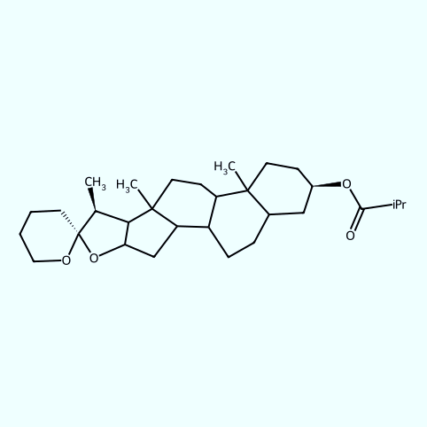 CC(C)C(=O)O[C@@H]1CCC2(C)C(CCC3C2CCC2(C)C3CC3O[C@]4(CCCCO4)[C@@H](C)C32)C1